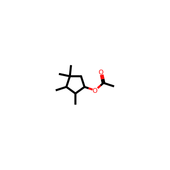 CC(=O)OC1CC(C)(C)C(C)C1C